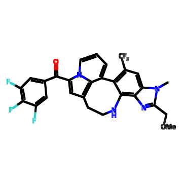 COCc1nc2c3c(c(C(F)(F)F)cc2n1C)-c1cccn2c(C(=O)c4cc(F)c(F)c(F)c4)cc(c12)CCN3